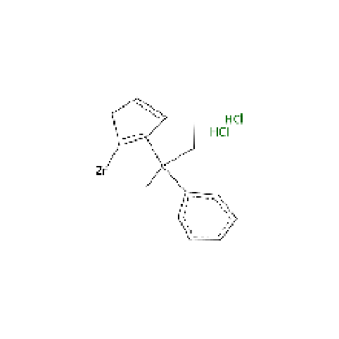 CCC(C)(C1=[C]([Zr])CC=C1)c1ccccc1.Cl.Cl